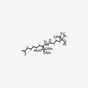 CCO[Si](CCCNC[SiH2]C(CCCCCN(C)C)[Si](OC)(OC)OC)(OCC)OCC